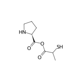 CC(S)C(=O)OC(=O)[C@@H]1CCCN1